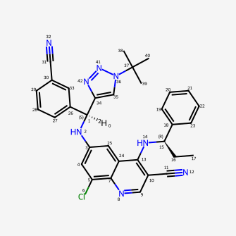 [2H][C@](Nc1cc(Cl)c2ncc(C#N)c(N[C@H](CC)c3ccccc3)c2c1)(c1cccc(C#N)c1)c1cn(C(C)(C)C)nn1